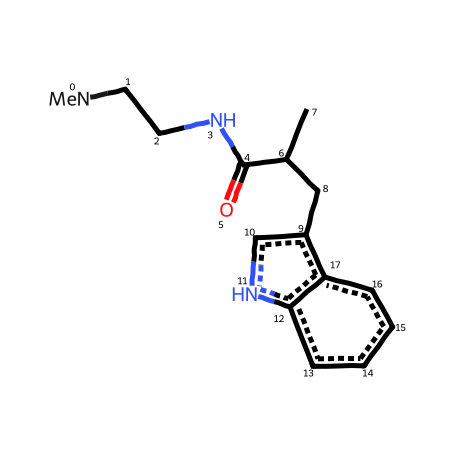 CNCCNC(=O)C(C)Cc1c[nH]c2ccccc12